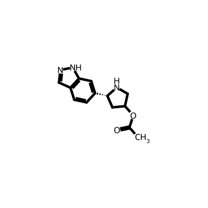 CC(=O)OC1CN[C@@H](c2ccc3cn[nH]c3c2)C1